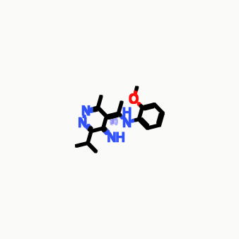 COc1ccccc1N/C(C)=C1\C(=N)C(C(C)C)=NN=C1C